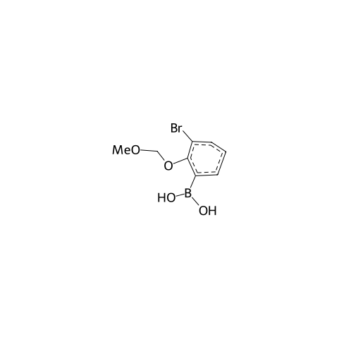 COCOc1c(Br)cccc1B(O)O